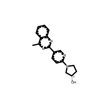 Cc1nc(-c2ccc(N3CC[C@H](O)C3)nc2)nc2ccccc12